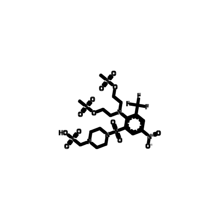 CS(=O)(=O)OCCN(CCOS(C)(=O)=O)c1c(C(F)(F)F)cc([N+](=O)[O-])cc1S(=O)(=O)N1CCN(CS(=O)(=O)O)CC1